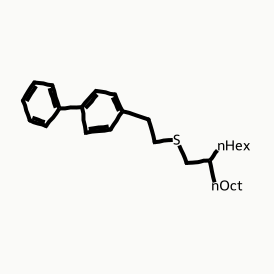 CCCCCCCCC(CCCCCC)CSCCc1ccc(-c2ccccc2)cc1